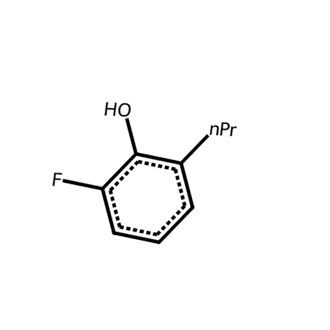 CCCc1cccc(F)c1O